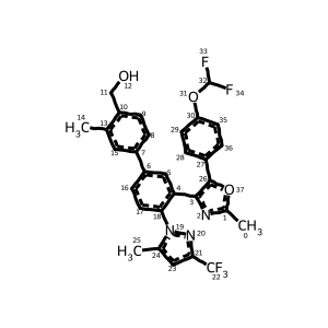 Cc1nc(-c2cc(-c3ccc(CO)c(C)c3)ccc2-n2nc(C(F)(F)F)cc2C)c(-c2ccc(OC(F)F)cc2)o1